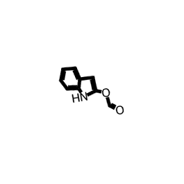 O=COc1cc2ccccc2[nH]1